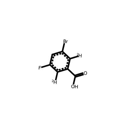 [2H]c1c(F)cc(Br)c([2H])c1C(=O)O